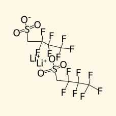 O=S(=O)([O-])CC(F)(F)C(F)(F)C(F)(F)F.O=S(=O)([O-])CC(F)(F)C(F)(F)C(F)(F)F.[Li+].[Li+]